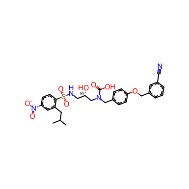 CC(C)Cc1cc([N+](=O)[O-])ccc1S(=O)(=O)NC[C@H](O)CN(Cc1ccc(OCc2cccc(C#N)c2)cc1)C(=O)O